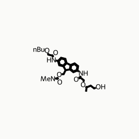 CCCCOCC(=O)Nc1ccc2c(c1)C(COC(=O)NC)c1cc(NC(=O)COC(C)CCO)ccc1-2